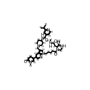 CNC(O)CC1C(=O)NCCN1C(=O)CCCCn1cc(CN2CCC(NC(=O)c3ccnc(C(C)C)c3)CC2)c2cc(-c3ccc(=O)n(C)c3)cnc21